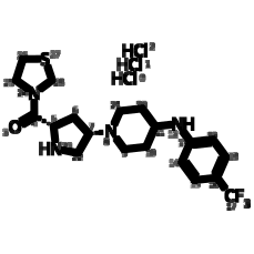 Cl.Cl.Cl.O=C([C@@H]1C[C@H](N2CCC(Nc3ccc(C(F)(F)F)cc3)CC2)CN1)N1CCSC1